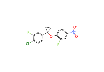 O=[N+]([O-])c1ccc(OC2(c3ccc(Cl)c(F)c3)CC2)c(F)c1